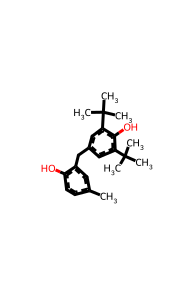 Cc1ccc(O)c(Cc2cc(C(C)(C)C)c(O)c(C(C)(C)C)c2)c1